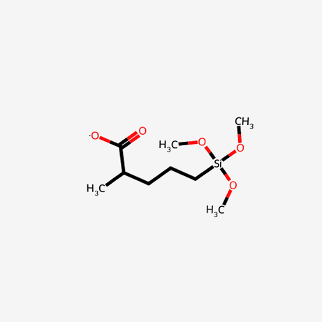 CO[Si](CCCC(C)C([O])=O)(OC)OC